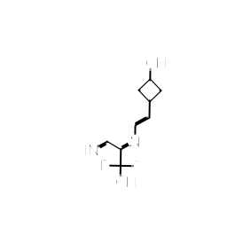 CC1CC(/C=C/N=C(\C=N)C(C)(F)F)C1